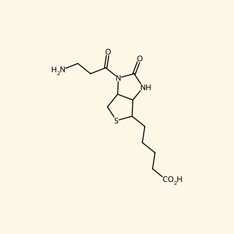 NCCC(=O)N1C(=O)NC2C(CCCCC(=O)O)SCC21